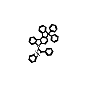 C1=CC2C(C3=C1C(c1ccccc1)(c1ccccc1)c1ccccc13)c1ccccc1N2C1C(c2ccccc2)n2c3ccccc3n21